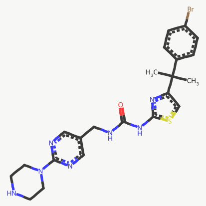 CC(C)(c1ccc(Br)cc1)c1csc(NC(=O)NCc2cnc(N3CCNCC3)nc2)n1